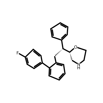 Fc1ccc(-c2ccccc2C[C@H](c2ccccc2)[C@H]2CNCCO2)cc1